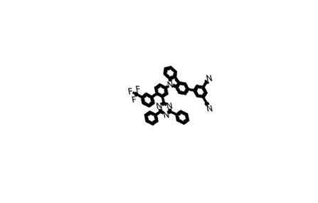 N#Cc1cc(C#N)cc(-c2ccc3c(c2)c2ccccc2n3-c2ccc(-c3cccc(C(F)(F)F)c3)c(-c3nc(-c4ccccc4)nc(-c4ccccc4)n3)c2)c1